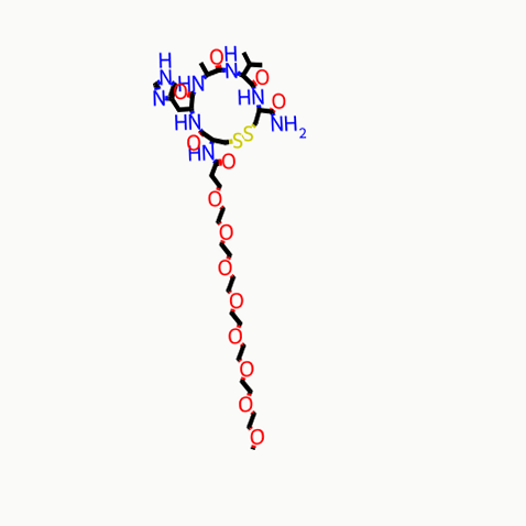 COCCOCCOCCOCCOCCOCCOCCOCCC(=O)NC1CSSCC(C(N)=O)NC(=O)C(C(C)C)NC(=O)C(C)NC(=O)C(Cc2c[nH]cn2)NC1=O